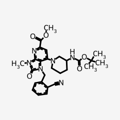 COC(=O)c1cc(N2CCCC(NC(=O)OC(C)(C)C)C2)c2c(n1)n(C)c(=O)n2Cc1ccccc1C#N